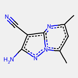 Cc1cc(C)n2nc(N)c(C#N)c2n1